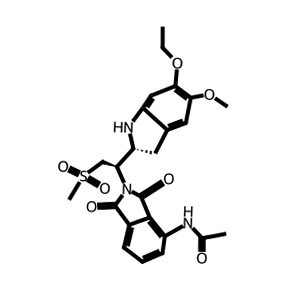 CCOc1cc2c(cc1OC)C[C@H]([C@H](CS(C)(=O)=O)N1C(=O)c3cccc(NC(C)=O)c3C1=O)N2